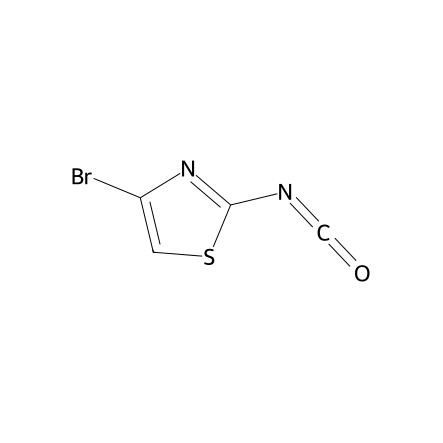 O=C=Nc1nc(Br)cs1